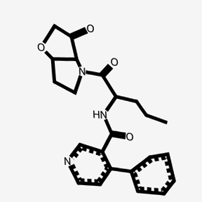 CCCC(NC(=O)c1cnccc1-c1ccccc1)C(=O)N1CCC2OCC(=O)C21